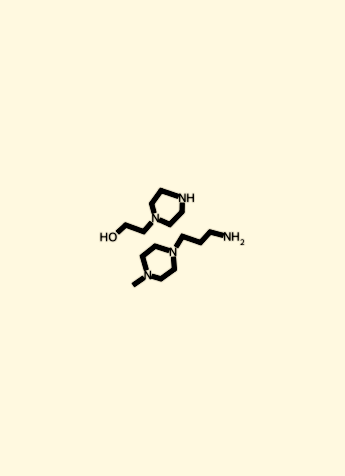 CN1CCN(CCCN)CC1.OCCN1CCNCC1